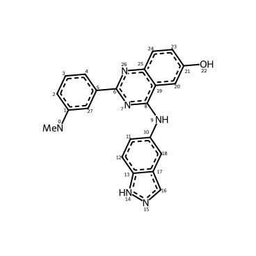 CNc1cccc(-c2nc(Nc3ccc4[nH]ncc4c3)c3cc(O)ccc3n2)c1